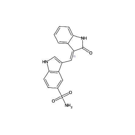 NS(=O)(=O)c1ccc2[nH]cc(/C=C3/C(=O)Nc4ccccc43)c2c1